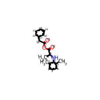 Cc1cccc(C)c1NC(C)C(=O)OC(=O)Cc1ccccc1